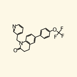 O=C1CCc2cc(-c3ccc(OC(F)(F)F)cc3)ccc2N1Cc1cccnc1